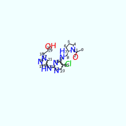 CC(=O)N1CCC[C@@H]1CNc1nc(Nc2cnn(CCO)c2)ncc1Cl